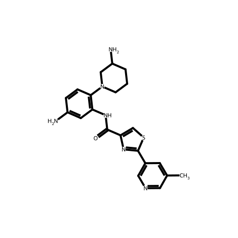 Cc1cncc(-c2nc(C(=O)Nc3cc(N)ccc3N3CCCC(N)C3)cs2)c1